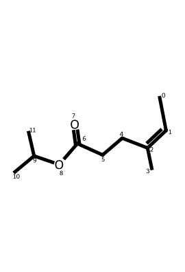 CC=C(C)CCC(=O)OC(C)C